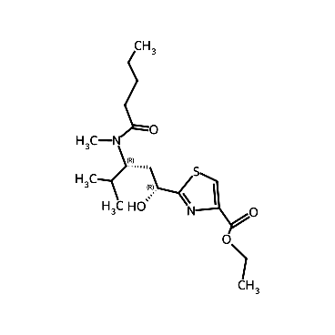 CCCCC(=O)N(C)[C@H](C[C@@H](O)c1nc(C(=O)OCC)cs1)C(C)C